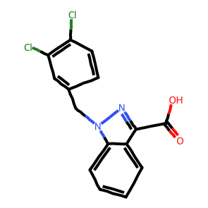 O=C(O)c1nn(Cc2ccc(Cl)c(Cl)c2)c2ccccc12